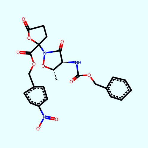 C[C@@H]1ON(C2(C(=O)OCc3ccc([N+](=O)[O-])cc3)CCC(=O)O2)C(=O)[C@H]1NC(=O)OCc1ccccc1